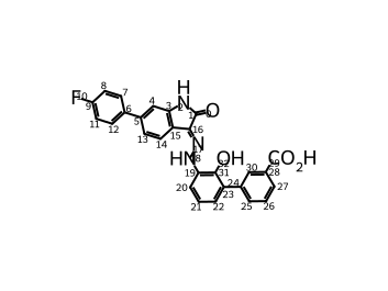 O=C1Nc2cc(-c3ccc(F)cc3)ccc2C1=NNc1cccc(-c2cccc(C(=O)O)c2)c1O